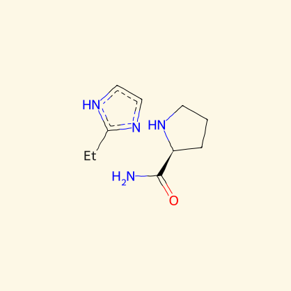 CCc1ncc[nH]1.NC(=O)[C@@H]1CCCN1